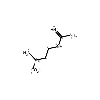 N=C(N)NCC[C@@H](N)C(=O)O